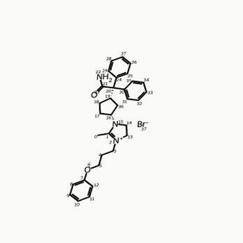 CC1=[N+](CCCOc2ccccc2)CCN1[C@@H]1CC[C@H](C(C(N)=O)(c2ccccc2)c2ccccc2)C1.[Br-]